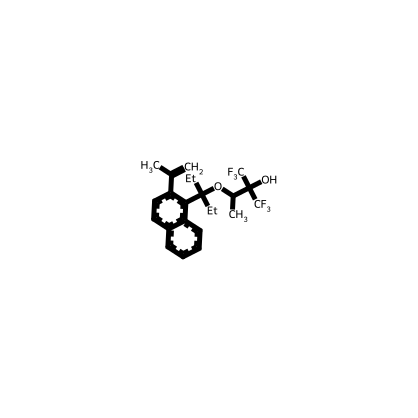 C=C(C)c1ccc2ccccc2c1C(CC)(CC)OC(C)C(O)(C(F)(F)F)C(F)(F)F